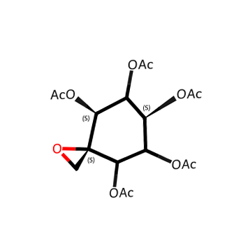 CC(=O)OC1C(OC(C)=O)[C@@]2(CO2)[C@@H](OC(C)=O)C(OC(C)=O)[C@H]1OC(C)=O